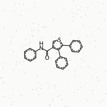 O=C(Nc1ccccc1)c1csc(-c2ccccc2)c1-c1ccccc1